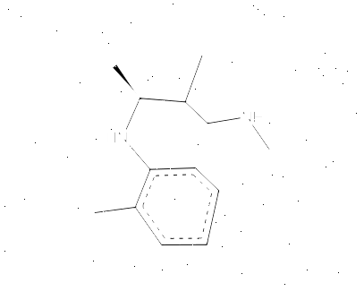 CNCC(C)[C@H](C)Nc1ccccc1C